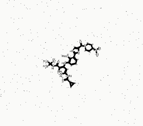 BC(B)(B)NC(=O)/C(N)=C(/C=C(\N)NC(=O)C1CC1)Nc1cccc(-c2ncc(C(=O)N3CCC(N(CC)CC)CC3)s2)c1OC